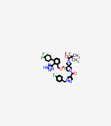 CC(C)(C(=O)N1CC2(CN(C(=O)c3cnn(Cc4ccc(F)cc4)c3)C[C@H]2COCc2cccc(C3CCC(F)(F)CC3)c2-c2nn[nH]n2)C1)C(F)(F)F